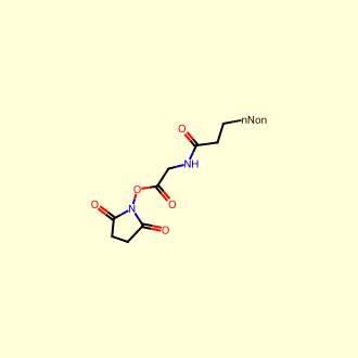 CCCCCCCCCCCC(=O)NCC(=O)ON1C(=O)CCC1=O